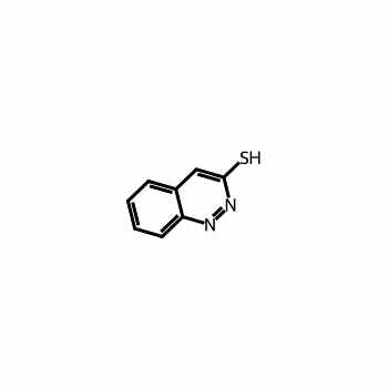 Sc1cc2ccccc2nn1